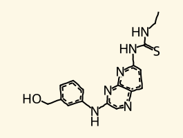 CCNC(=S)Nc1ccc2ncc(Nc3cccc(CO)c3)nc2n1